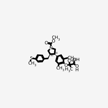 COC(=O)N1C[C@H](Cc2ccc(SC)cc2)[C@@H](c2cc(C)c(OC(C)(C)C(O)O)c(C)c2)C1